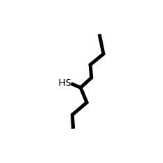 CCCCC(S)CCC